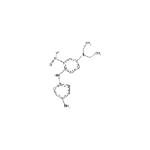 CCN(CC)c1ccc(Nc2ccc(N)cc2)c([N+](=O)[O-])c1